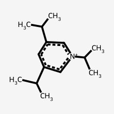 CC(C)c1cc(C(C)C)c[n+](C(C)C)c1